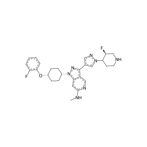 CNc1cc2c(cn1)c(-c1cnn(C3CCNC[C@@H]3F)c1)nn2[C@H]1CC[C@@H](Oc2ccccc2F)CC1